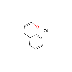 C1=COc2ccccc2C1.[Cd]